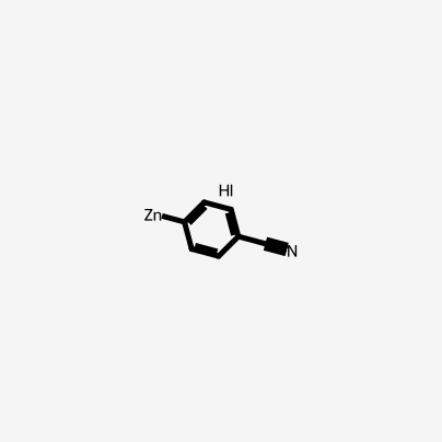 I.N#Cc1cc[c]([Zn])cc1